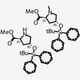 COC(=O)[C@@H]1C[C@@H](O[Si](c2ccccc2)(c2ccccc2)C(C)(C)C)CN1.COC(=O)[C@@H]1C[C@@H](O[Si](c2ccccc2)(c2ccccc2)C(C)(C)C)CN1C